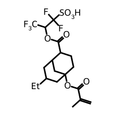 C=C(C)C(=O)OC12CCC(C(=O)OC(C(F)(F)F)C(F)(F)S(=O)(=O)O)C(CC(CC)C1)C2